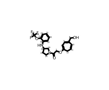 O=C(COC1=CC=C(CO)C=CC1)N1CCC(Nc2ccccc2OC(F)(F)F)C1